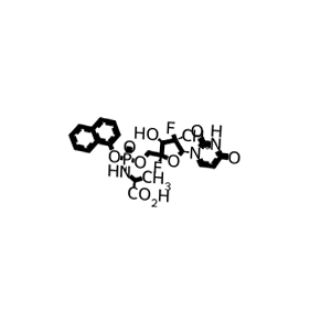 C[C@H](N[P@](=O)(OC[C@@]1(F)O[C@@H](n2ccc(=O)[nH]c2=O)[C@](C)(F)[C@@H]1O)Oc1cccc2ccccc12)C(=O)O